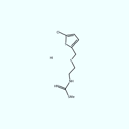 CSC(=N)NCCSCc1ccc(Cl)s1.I